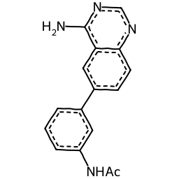 CC(=O)Nc1cccc(-c2ccc3ncnc(N)c3c2)c1